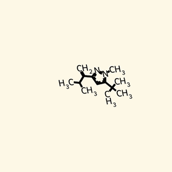 C=C(c1cc(C(C)(C)C)n(C)n1)C(C)C